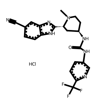 CN1CC[C@@H](NC(=O)Nc2ccc(C(F)(F)F)nc2)C[C@@H]1c1nc2cc(C#N)ccc2[nH]1.Cl